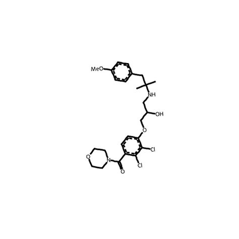 COc1ccc(CC(C)(C)NCC(O)COc2ccc(C(=O)N3CCOCC3)c(Cl)c2Cl)cc1